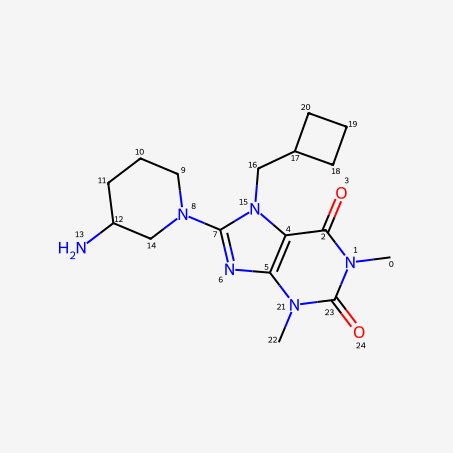 Cn1c(=O)c2c(nc(N3CCCC(N)C3)n2CC2CCC2)n(C)c1=O